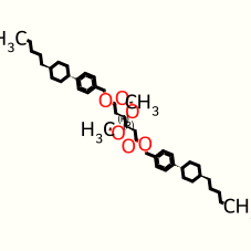 CCCCC[C@H]1CC[C@H](c2ccc(COC(=O)C[C@@H](OC)[C@@H](CC(=O)OCc3ccc([C@H]4CC[C@H](CCCCC)CC4)cc3)OC)cc2)CC1